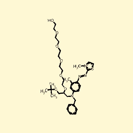 Cc1cc(N(Cc2ccccc2)CC(COC(C)(C)C)OCCOCCOCCOCCOCCO)ccc1/N=N/c1scc[n+]1C